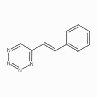 C(=Cc1cnnnn1)c1ccccc1